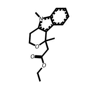 CCOC(=O)CC1(C)OCCc2c1c1ccccc1n2C